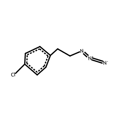 [N-]=[N+]=NCCc1ccc(Cl)cc1